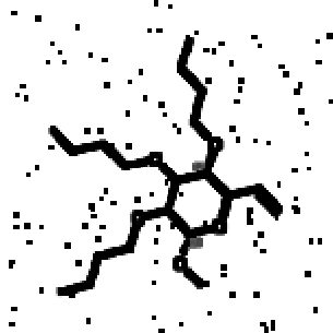 C=CC1O[C@H](OC)C(OCCCC)C(OCCCC)[C@H]1OCCCC